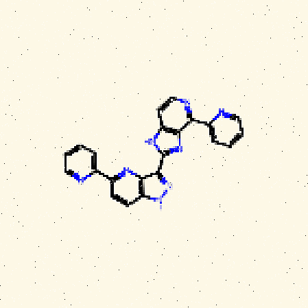 c1ccc(-c2ccc3[nH]nc(-c4nc5c(-c6ccccn6)nccc5[nH]4)c3n2)nc1